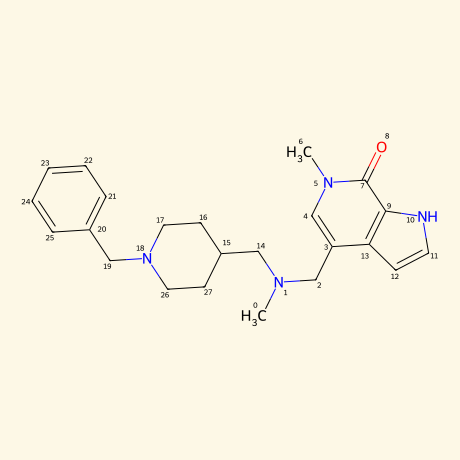 CN(Cc1cn(C)c(=O)c2[nH]ccc12)CC1CCN(Cc2ccccc2)CC1